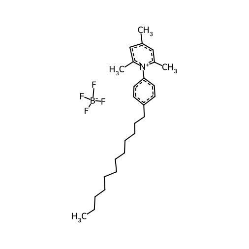 CCCCCCCCCCCCc1ccc(-[n+]2c(C)cc(C)cc2C)cc1.F[B-](F)(F)F